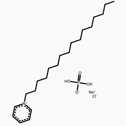 CCCCCCCCCCCCCCCC[n+]1ccccc1.O=P([O-])(O)O.[Cl-].[Na+]